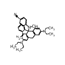 C=Cc1ccccc1C1(N(C)c2ccc(C#N)cc2)c2ccc(N(CC)CC)cc2Cc2cc(N(CC)CC)ccc21